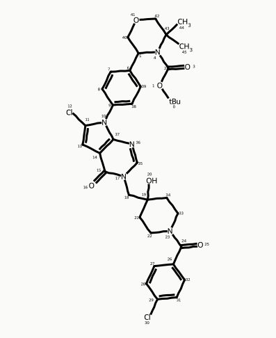 CC(C)(C)OC(=O)N1C(c2ccc(-n3c(Cl)cc4c(=O)n(CC5(O)CCN(C(=O)c6ccc(Cl)cc6)CC5)cnc43)cc2)COCC1(C)C